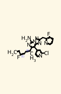 C=C/C(F)=C\C=C(/C)c1nc(N)n2nc(Cc3ncccc3F)nc2c1-c1ccnc(Cl)c1